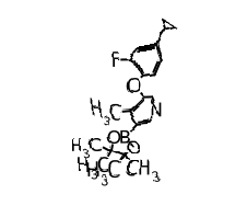 Cc1c(Oc2ccc(C3CC3)cc2F)cncc1B1OC(C)(C)C(C)(C)O1